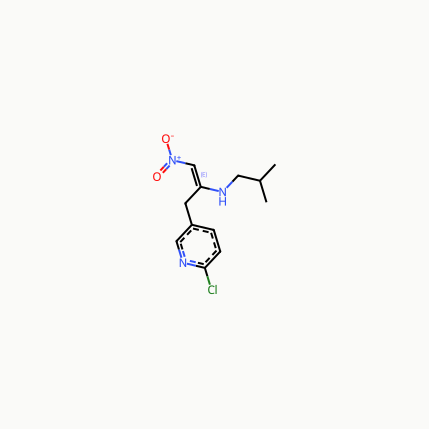 CC(C)CN/C(=C/[N+](=O)[O-])Cc1ccc(Cl)nc1